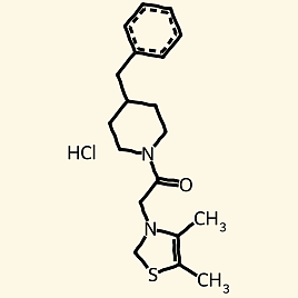 CC1=C(C)N(CC(=O)N2CCC(Cc3ccccc3)CC2)CS1.Cl